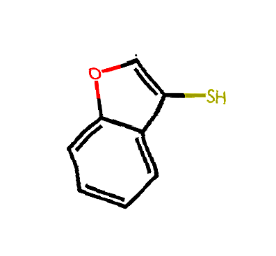 Sc1[c]oc2ccccc12